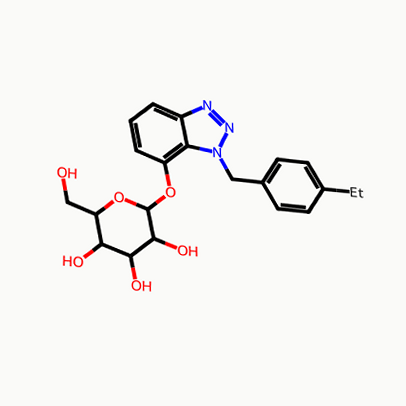 CCc1ccc(Cn2nnc3cccc(OC4OC(CO)C(O)C(O)C4O)c32)cc1